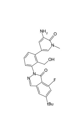 Cn1cc(-c2cccc(-n3ncc4cc(C(C)(C)C)cc(F)c4c3=O)c2CO)cc(N)c1=O